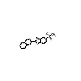 CS(=O)(=O)c1ccc2sc(-c3ccc4ccccc4c3)nc2c1